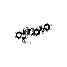 CC(C)(C)OC(=O)N1CCCCC1C(=O)N[C@@H](Cc1ccc(S(=O)(=O)c2ccccc2)cc1)C(N)=O